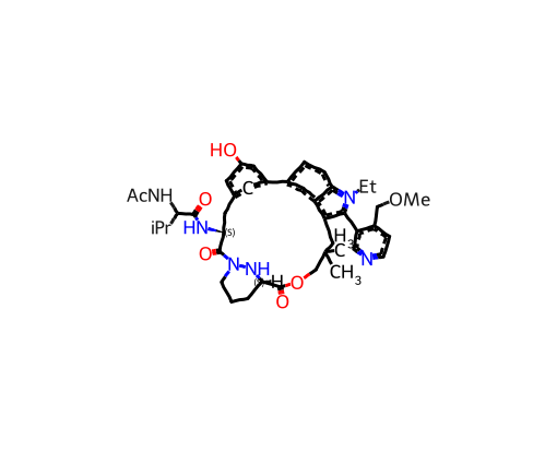 CCn1c(-c2cnccc2COC)c2c3cc(ccc31)-c1cc(O)cc(c1)C[C@H](NC(=O)C(NC(C)=O)C(C)C)C(=O)N1CCC[C@H](N1)C(=O)OCC(C)(C)C2